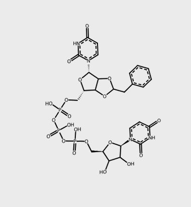 O=c1ccn([C@@H]2O[C@H](COP(=O)(O)OP(=O)(O)OP(=O)(O)OC[C@@H]3O[C@H](n4ccc(=O)[nH]c4=O)C4OC(Cc5ccccc5)OC43)C(O)C2O)c(=O)[nH]1